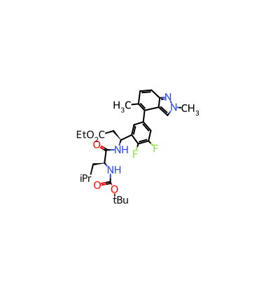 CCOC(=O)C[C@H](NC(=O)[C@H](CC(C)C)NC(=O)OC(C)(C)C)c1cc(-c2c(C)ccc3nn(C)cc23)cc(F)c1F